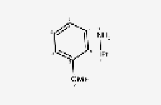 CC(C)N.COc1ccccc1